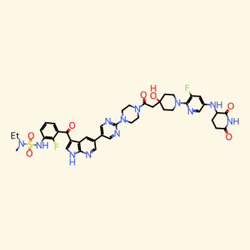 CCN(C)S(=O)(=O)Nc1cccc(C(=O)c2c[nH]c3ncc(-c4cnc(N5CCN(C(=O)CC6(O)CCN(c7ncc(NC8CCC(=O)NC8=O)cc7F)CC6)CC5)nc4)cc23)c1F